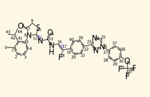 Cc1cccc(N2C(=O)CS/C2=N\C(=O)N/C=C(\F)c2ccc(-c3ncn(-c4ccc(OC(F)(F)F)cc4)n3)cc2)c1C(C)C